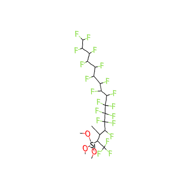 CO[Si](OC)(OC)C(C(C)C(F)C(F)(F)C(F)(F)C(F)(F)C(F)C(F)C(F)C(F)C(F)C(F)C(F)C(F)C(F)F)C(F)(F)F